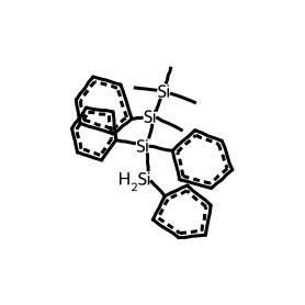 C[Si](C)(C)[Si](C)(c1ccccc1)[Si]([SiH2]c1ccccc1)(c1ccccc1)c1ccccc1